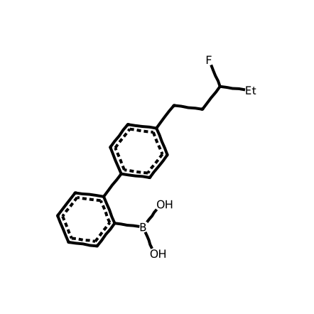 CCC(F)CCc1ccc(-c2ccccc2B(O)O)cc1